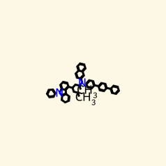 CCCC(CC(C)N(c1ccc(-c2ccc(-c3ccccc3)cc2)cc1)c1ccc2ccccc2c1)c1cccc2c1c1c(n2-c2ccccc2)CCC=C1